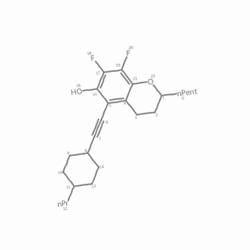 CCCCCC1CCc2c(C#CC3CCC(CCC)CC3)c(O)c(F)c(F)c2O1